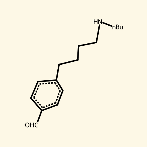 CCCCNCCCCc1ccc([C]=O)cc1